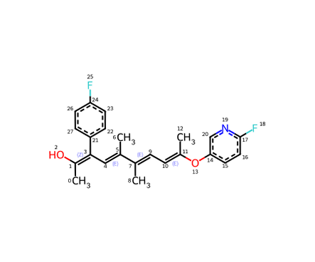 C\C(O)=C(/C=C(C)/C(C)=C/C=C(\C)Oc1ccc(F)nc1)c1ccc(F)cc1